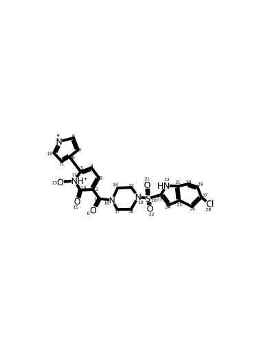 O=C(C1=CC=C(c2ccncc2)[NH+]([O-])C1=O)N1CCN(S(=O)(=O)c2cc3cc(Cl)ccc3[nH]2)CC1